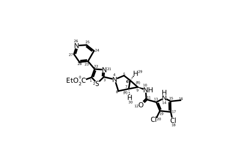 CCOC(=O)c1sc(N2C[C@@H]3[C@H](C2)[C@@H]3NC(=O)c2[nH]c(C)c(Cl)c2Cl)nc1-c1ccncc1